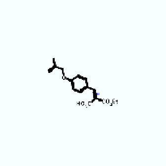 C=C(C)COc1ccc(/C=C(\C(=O)O)C(=O)OCC)cc1